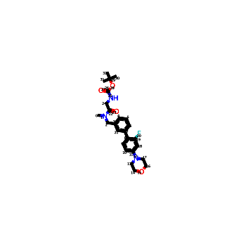 CN(Cc1cccc(-c2ccc(N3CCOCC3)cc2F)c1)C(=O)CNC(=O)OC(C)(C)C